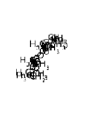 Cc1cc(OC(=O)N(C)SN(C)C(=O)OCCOCCOC(=O)N(C)SN(C)C(=O)Oc2cc(C)c(N(C)C)c(C)c2)cc(C)c1N(C)C